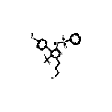 COc1ccc(-c2c(NS(=O)(=O)c3ccccc3)nn(CCCO)c2C(F)(F)F)cc1